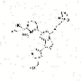 CCC[C@](N)(O)c1cccc(-c2cc(OCCS(C)(=O)=O)c3cnn(-c4cccc(CO)n4)c3c2)n1